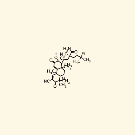 CCC(C)(C)CC[C@@](C)(CC[C@]1(C)[C@](C)(O)C(=O)C=C2[C@@]3(C)C=C(C#N)C(=O)C(C)(C)[C@@H]3CC[C@]21C)C(N)=O